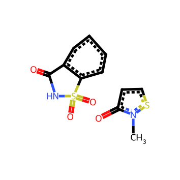 Cn1sccc1=O.O=C1NS(=O)(=O)c2ccccc21